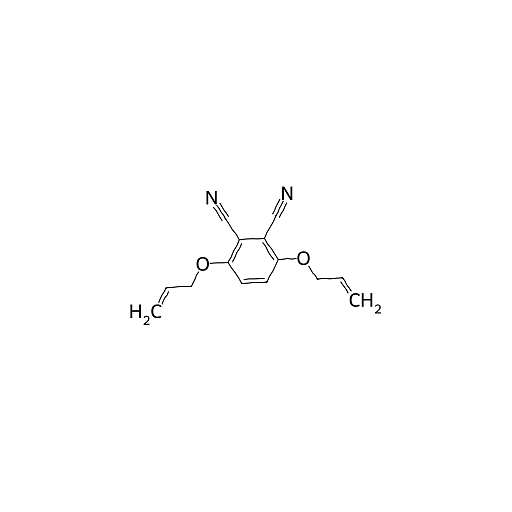 C=CCOc1ccc(OCC=C)c(C#N)c1C#N